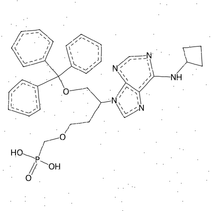 O=P(O)(O)COCCC(COC(c1ccccc1)(c1ccccc1)c1ccccc1)n1cnc2c(NC3CCC3)ncnc21